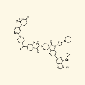 CC(C(=O)N1CCN(C(=O)C2CCN(c3cc(C4CCC(=O)NC4=O)ccn3)CC2)CC1)N1CCC2(CC1)C(=O)N([C@H]1C[C@@H](N3CCCCC3)C1)c1cc(-c3cc4ncn(C(C)C)c4c(NC4CC4)n3)ccc12